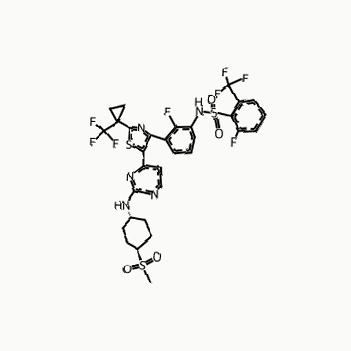 CS(=O)(=O)[C@H]1CC[C@H](Nc2nccc(-c3sc(C4(C(F)(F)F)CC4)nc3-c3cccc(NS(=O)(=O)c4c(F)cccc4C(F)(F)F)c3F)n2)CC1